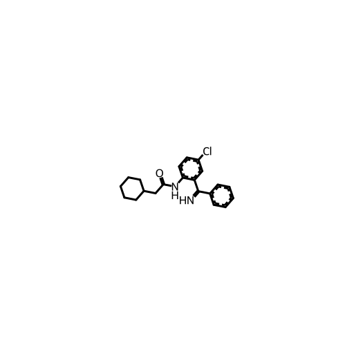 N=C(c1ccccc1)c1cc(Cl)ccc1NC(=O)CC1CCCCC1